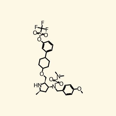 COc1ccc(CN([C@H]2C[C@@H](C)N[C@H]2COC2CCC(c3cccc(OS(=O)(=O)C(F)(F)F)c3)CC2)S(=O)(=O)N(C)C)cc1